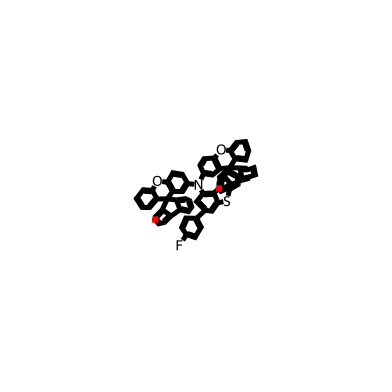 Fc1ccc(-c2cc(N(c3ccc4c(c3)C3(c5ccccc5O4)c4ccccc4-c4ccccc43)c3ccc4c(c3)C3(c5ccccc5O4)c4ccccc4-c4ccccc43)c3c(c2)sc2ccccc23)cc1